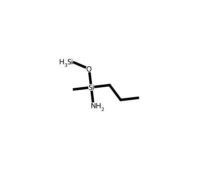 CCC[Si](C)(N)O[SiH3]